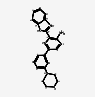 Nc1ncc(-c2cccc(N3CCOCC3)c2)nc1-c1nc2ccccc2o1